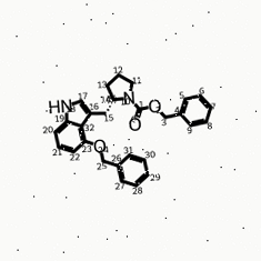 O=C(OCc1ccccc1)N1CCC[C@H]1Cc1c[nH]c2cccc(OCc3ccccc3)c12